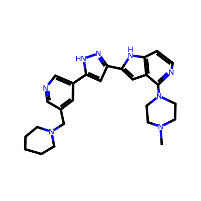 CN1CCN(c2nccc3[nH]c(-c4cc(-c5cncc(CN6CCCCC6)c5)[nH]n4)cc23)CC1